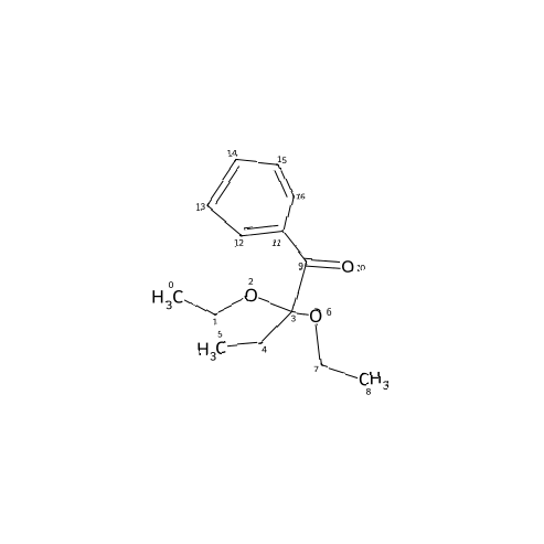 CCOC(CC)(OCC)C(=O)c1ccccc1